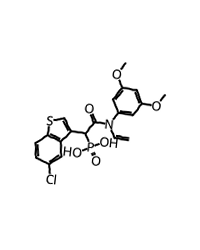 C=CN(C(=O)C(c1csc2ccc(Cl)cc12)P(=O)(O)O)c1cc(OC)cc(OC)c1